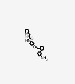 Nc1cccc(-c2ccccc2CCOc2ccc(NC(=O)NCc3ccccn3)cc2)c1